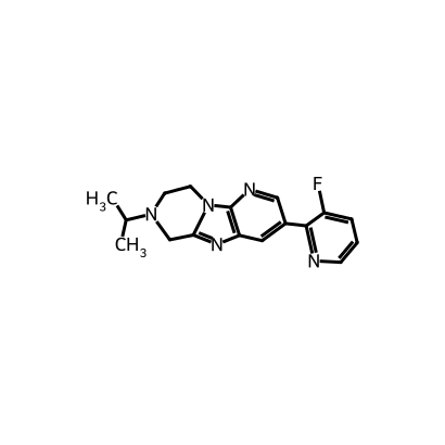 CC(C)N1CCn2c(nc3cc(-c4ncccc4F)cnc32)C1